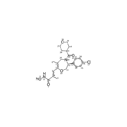 CC1=C(/C=C(\C)C(=O)NO)OC[C@H](c2ccc(Cl)cc2)N(C(=O)C2CCOCC2)C1